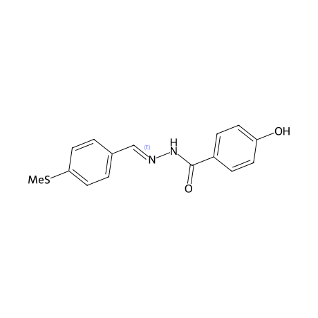 CSc1ccc(/C=N/NC(=O)c2ccc(O)cc2)cc1